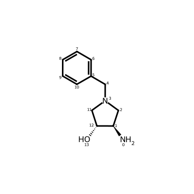 N[C@@H]1CN(Cc2ccccc2)C[C@H]1O